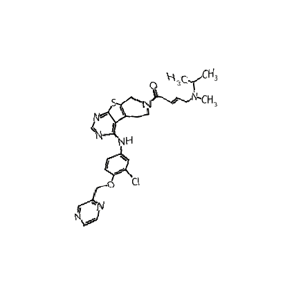 CC(C)N(C)CC=CC(=O)N1CCc2c(sc3ncnc(Nc4ccc(OCc5cnccn5)c(Cl)c4)c23)C1